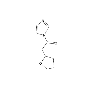 O=C(CC1CCCO1)n1ccnc1